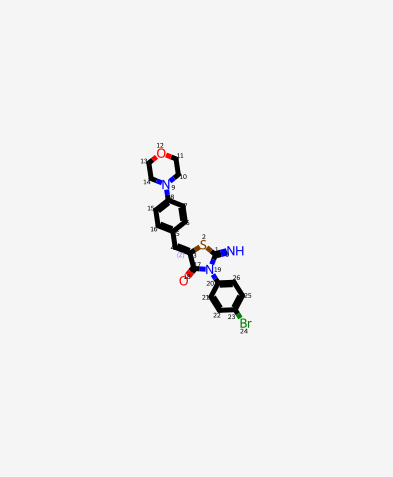 N=C1S/C(=C\c2ccc(N3CCOCC3)cc2)C(=O)N1c1ccc(Br)cc1